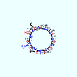 C/C=C/C[C@@H](C)[C@@H](O)C1C(=O)N[C@@H](CC)C(=O)N(C)[C@H](CCN)C(=O)N(C)[C@@H](CC(C)C)C(=O)N[C@H](C(C)C)C(=O)N(C)[C@H](CC(C)C)C(=O)N[C@H](C)C(=O)N[C@@H](C)C(=O)N(C)[C@H](CC(C)C)C(=O)N(C)[C@@H](CC(C)C)C(=O)N(C)[C@@H](C(C)C)C(=O)N1C